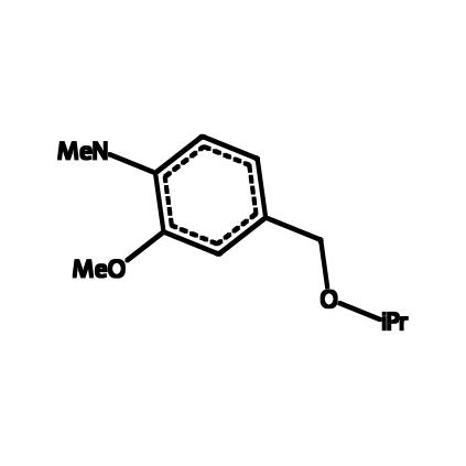 CNc1ccc(COC(C)C)cc1OC